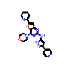 c1ccc(-c2cc3nc(Nc4cc(-c5ccncc5)n[nH]4)nc(N4CCOCC4)c3o2)nc1